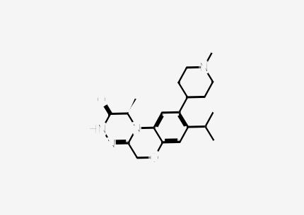 CC(C)c1cc2c(cc1C1CCN(C)CC1)N1C(=NNC(=O)[C@H]1C)CO2